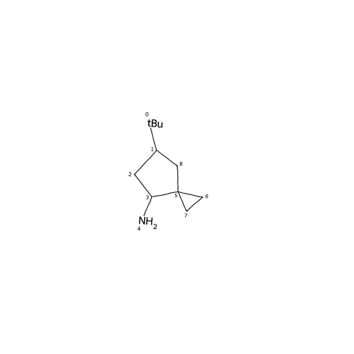 CC(C)(C)C1CC(N)C2(CC2)C1